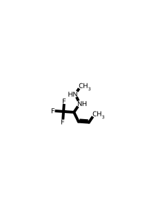 C/C=C\C(NNC)C(F)(F)F